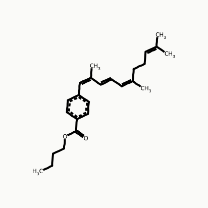 CCCCOC(=O)c1ccc(C=C(C)C=CC=C(C)CCC=C(C)C)cc1